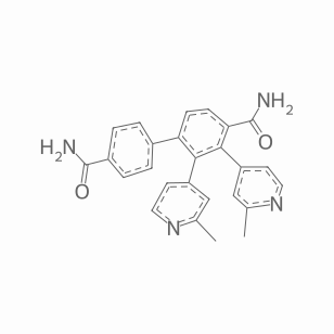 Cc1cc(-c2c(C(N)=O)ccc(-c3ccc(C(N)=O)cc3)c2-c2ccnc(C)c2)ccn1